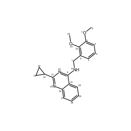 COc1cccc(CNc2nc(C3CC3)nc3ccccc23)c1OC